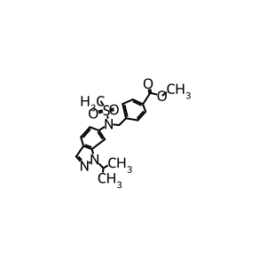 COC(=O)c1ccc(CN(c2ccc3cnn(C(C)C)c3c2)S(C)(=O)=O)cc1